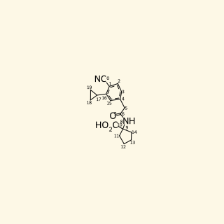 N#Cc1ccc(CC(=O)NC2(C(=O)O)CCCC2)cc1C1CC1